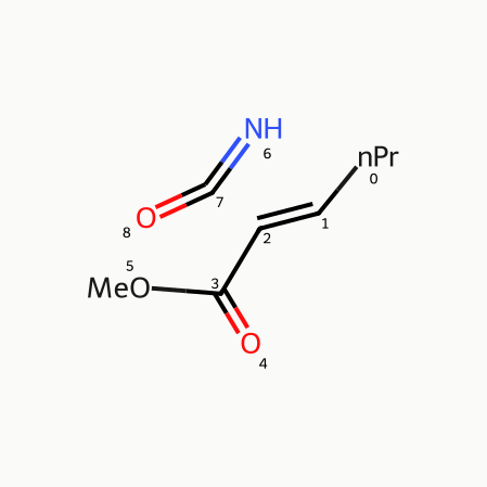 CCCC=CC(=O)OC.N=C=O